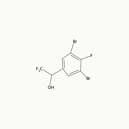 OC(c1cc(Br)c(F)c(Br)c1)C(F)(F)F